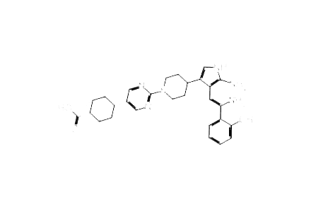 N/C(=C\c1c(C2CCN(c3ncc([C@H]4CC[C@@H](C(=O)O)CC4)cn3)CC2)c[nH]c1N)c1ccccc1O